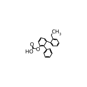 CCc1ccccc1-c1cccc(OC(=O)O)c1-c1ccccc1